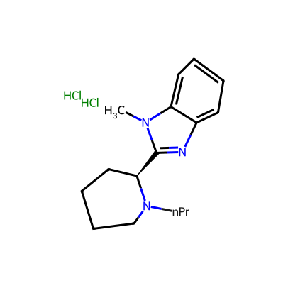 CCCN1CCCC[C@H]1c1nc2ccccc2n1C.Cl.Cl